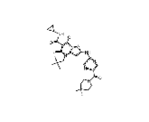 CC(C)(C)Cn1c(=O)c(C(=O)NC2CC2)c(O)n2nc(Nc3cnc(C(=O)N4CCC(F)(F)CC4)cn3)cc12